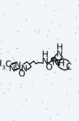 Cc1cnc(C(=O)N2CCC(CCCCNC(=O)c3cc4c([nH]3)C3(CCCCCCCCC3)CNC4)CC2)cn1